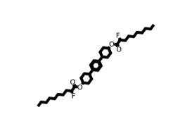 CCCCCCCCC(F)C(=O)OC1CCC(c2ccc(C3CCC(OC(=O)C(F)CCCCCCCC)CC3)cc2)CC1